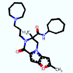 Cc1cc2c(cc3n2CC(C)(C(=O)NC2CCCCCC2)N(CCCN2CCCCCC2)C3=O)o1